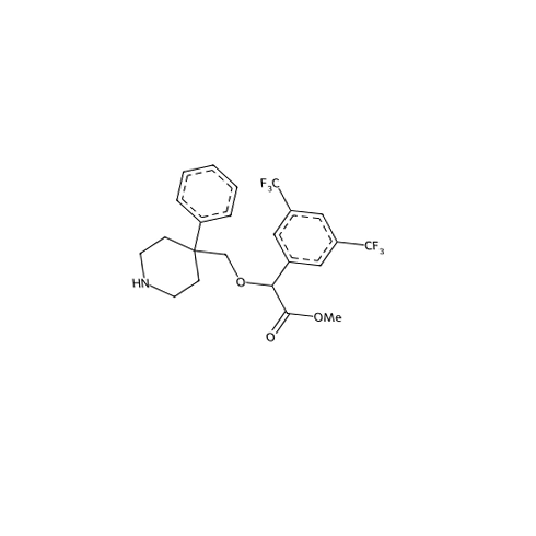 COC(=O)C(OCC1(c2ccccc2)CCNCC1)c1cc(C(F)(F)F)cc(C(F)(F)F)c1